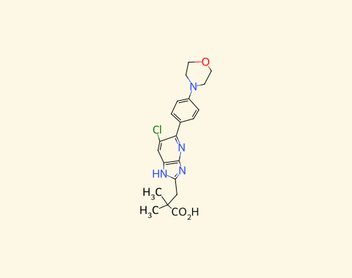 CC(C)(Cc1nc2nc(-c3ccc(N4CCOCC4)cc3)c(Cl)cc2[nH]1)C(=O)O